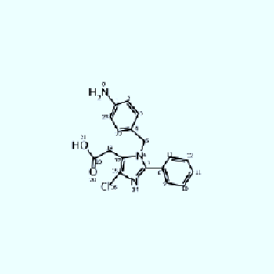 Nc1ccc(Cn2c(-c3ccccc3)nc(Cl)c2CC(=O)O)cc1